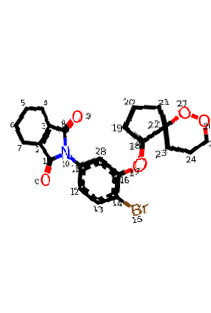 O=C1C2=C(CCCC2)C(=O)N1c1ccc(Br)c(OC2CCCC23CCCOO3)c1